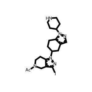 CC(=O)N1CCc2c(c(I)nn2C2CCc3c(cnn3C3CCNCC3)C2)C1